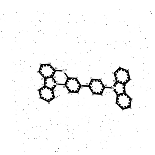 c1ccc2c(c1)c1ccccc1n2-c1ccc(-c2ccc3c(c2)Sc2cccc4c5ccccc5n-3c24)cc1